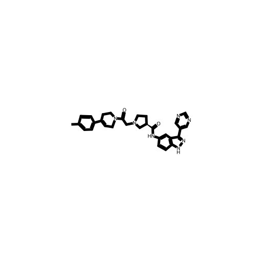 Cc1ccc(C2=CCN(C(=O)CN3CC[C@@H](C(=O)Nc4ccc5[nH]nc(-c6cncnc6)c5c4)C3)CC2)cc1